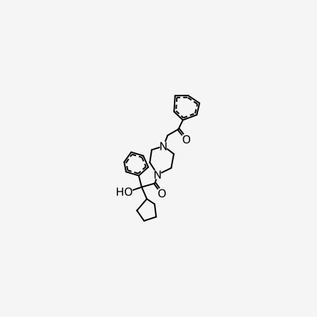 O=C(CN1CCN(C(=O)C(O)(c2ccccc2)C2CCCC2)CC1)c1ccccc1